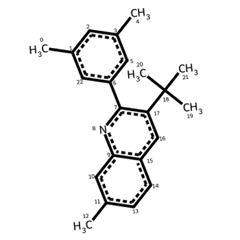 Cc1cc(C)cc(-c2nc3cc(C)ccc3cc2C(C)(C)C)c1